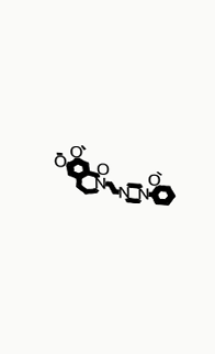 COc1cc2c(cc1OC)C(=O)N(CCN1CCN(c3ccccc3OC)CC1)CCC2